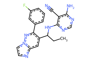 CCC(Nc1ncnc(N)c1C#N)c1cc2nccn2nc1-c1cccc(F)c1